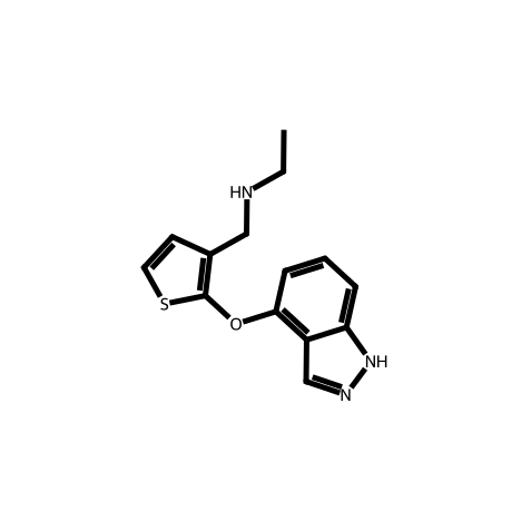 CCNCc1ccsc1Oc1cccc2[nH]ncc12